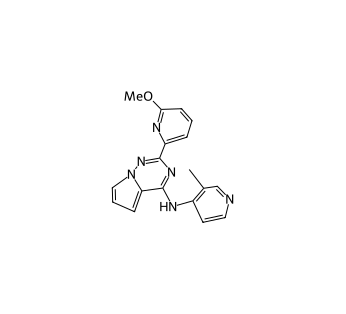 COc1cccc(-c2nc(Nc3ccncc3C)c3cccn3n2)n1